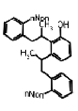 CCCCCCCCCc1ccccc1CC(C)c1cccc(O)c1C(C)Cc1ccccc1CCCCCCCCC